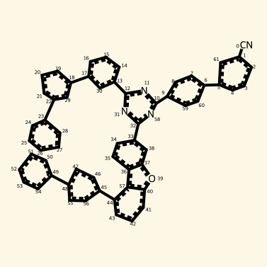 N#Cc1cccc(-c2ccc(-c3nc(-c4cccc(-c5cccc(-c6ccccc6)c5)c4)nc(-c4ccc5c(c4)oc4cccc(-c6ccc(-c7ccccc7)cc6)c45)n3)cc2)c1